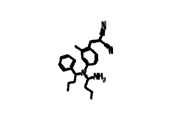 CCCC(N)N(c1ccc(C=C(C#N)C#N)c(C)c1)C(CCC)c1ccccc1